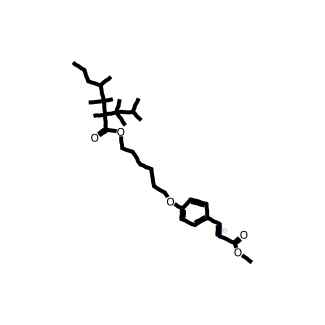 CCCC(C)C(C)(C)C(C)(C(=O)OCCCCCCOc1ccc(/C=C/C(=O)OC)cc1)C(C)(C)C(C)C